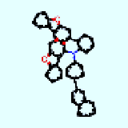 c1ccc(N(c2ccc(-c3ccc4ccccc4c3)cc2)c2cccc3oc4ccccc4c23)c(-c2ccc3c(c2)oc2ccccc23)c1